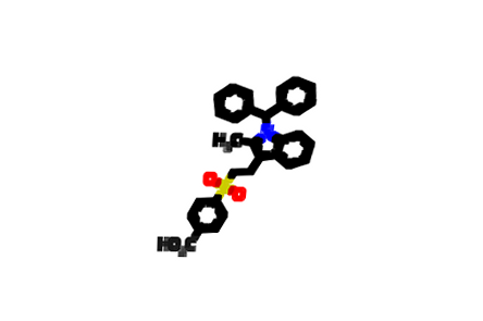 Cc1c(CCS(=O)(=O)c2ccc(C(=O)O)cc2)c2ccccc2n1C(c1ccccc1)c1ccccc1